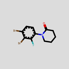 O=C1CCCCN1c1ccc(Br)c(Br)c1F